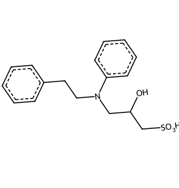 O=S(=O)(O)CC(O)CN(CCc1ccccc1)c1ccccc1